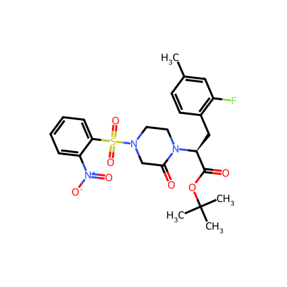 Cc1ccc(C[C@@H](C(=O)OC(C)(C)C)N2CCN(S(=O)(=O)c3ccccc3[N+](=O)[O-])CC2=O)c(F)c1